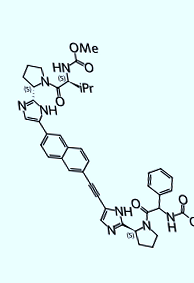 COC(=O)NC(C(=O)N1CCC[C@H]1c1ncc(C#Cc2ccc3cc(-c4cnc([C@@H]5CCCN5C(=O)[C@@H](NC(=O)OC)C(C)C)[nH]4)ccc3c2)[nH]1)c1ccccc1